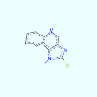 Cn1c(S)nc2cnc3ccccc3c21